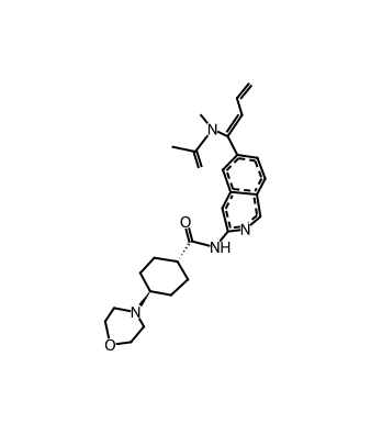 C=C/C=C(/c1ccc2cnc(NC(=O)[C@H]3CC[C@H](N4CCOCC4)CC3)cc2c1)N(C)C(=C)C